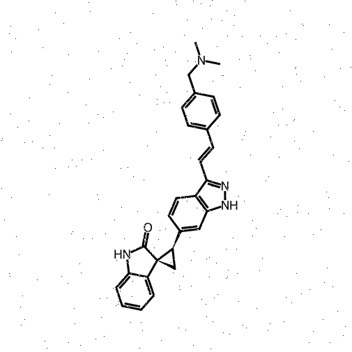 CN(C)Cc1ccc(/C=C/c2n[nH]c3cc([C@H]4C[C@@]45C(=O)Nc4ccccc45)ccc23)cc1